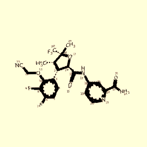 C[C@H]1[C@@H](c2ccc(F)c(F)c2OCC#N)[C@H](C(=O)Nc2ccnc(C(N)=O)c2)O[C@@]1(C)C(F)(F)F